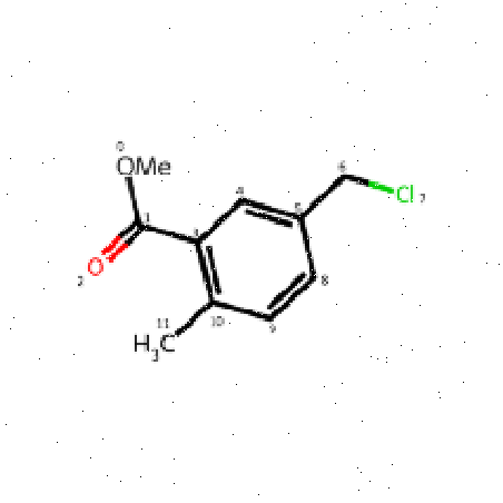 COC(=O)c1cc(CCl)ccc1C